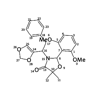 COc1cccc(OC)c1C1OC(C)(C)C(=O)N1C(Cc1ccccc1)C1=COCO1